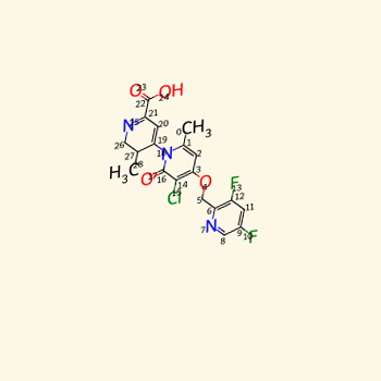 Cc1cc(OCc2ncc(F)cc2F)c(Cl)c(=O)n1C1=CC(C(=O)O)=NCC1C